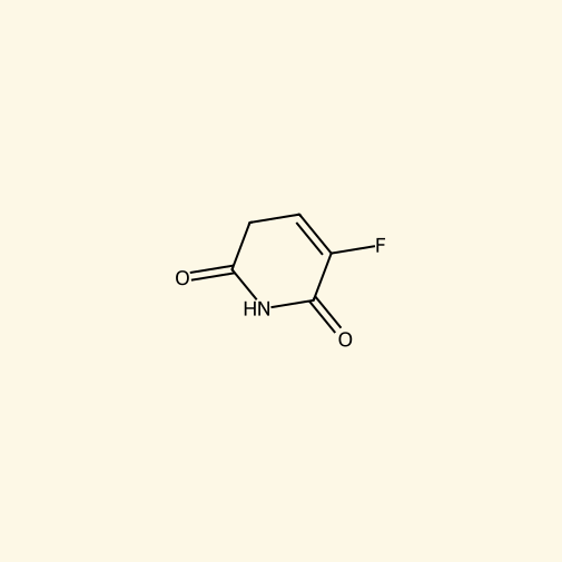 O=C1CC=C(F)C(=O)N1